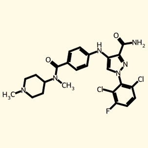 CN1CCC(N(C)C(=O)c2ccc(Nc3cn(-c4c(Cl)ccc(F)c4Cl)nc3C(N)=O)cc2)CC1